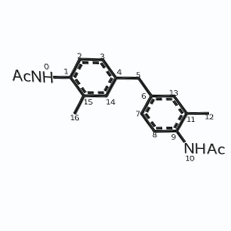 CC(=O)Nc1ccc(Cc2ccc(NC(C)=O)c(C)c2)cc1C